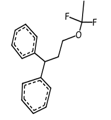 CC(F)(F)OCCC(c1ccccc1)c1ccccc1